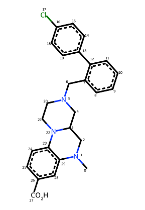 CN1CC2CN(Cc3ccccc3-c3ccc(Cl)cc3)CCN2c2ccc(C(=O)O)cc21